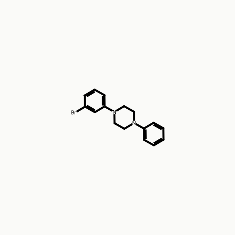 Brc1[c]ccc(N2CCN(c3ccccc3)CC2)c1